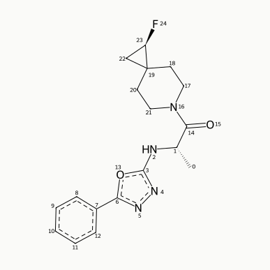 C[C@H](Nc1nnc(-c2ccccc2)o1)C(=O)N1CCC2(CC1)C[C@H]2F